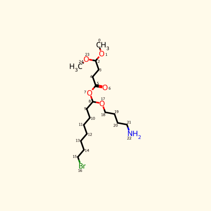 COC(CCC(=O)OC(CCCCCCCBr)OCCCCN)OC